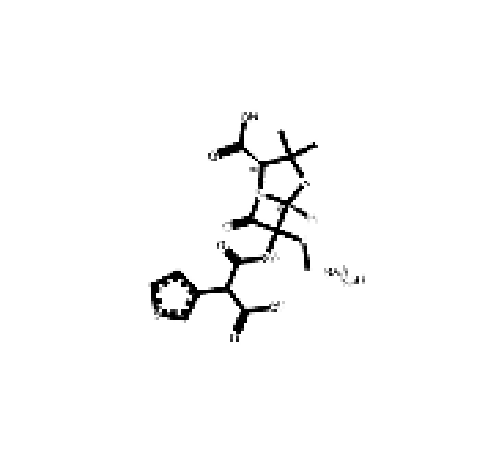 COC1(NC(=O)C(C(=O)O)c2ccsc2)C(=O)N2[C@@H](C(=O)O)C(C)(C)S[C@@H]21.[NaH].[NaH]